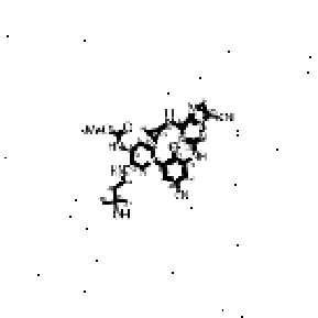 COC(=O)N[C@H]1CCN(c2cc(C#N)cc(Nc3nc(NC4CC4)c4ncc(C#N)n4n3)c2Cl)C[C@@H]1NCCC(C)(C)O